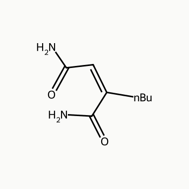 CCCCC(=CC(N)=O)C(N)=O